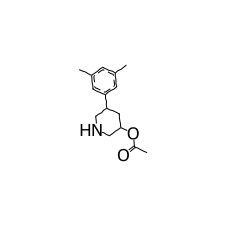 CC(=O)OC1CNCC(c2cc(C)cc(C)c2)C1